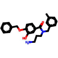 Cc1cccc(CN(CCCN)C(=O)c2ccc(OCc3ccccc3)c(O)c2)c1